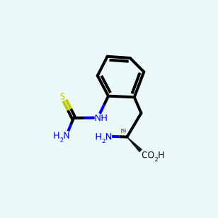 NC(=S)Nc1ccccc1C[C@H](N)C(=O)O